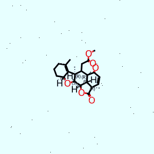 COC(=O)CC1[C@]2(C)C3=C(C)CCC[C@H]3O[C@@H]2[C@@H]2OC(=O)[C@]3(C)C=CC(=O)[C@@]1(C)[C@@H]23